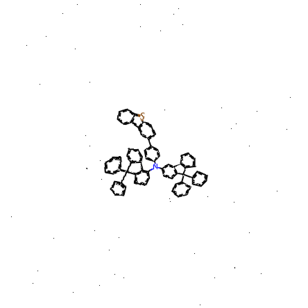 c1ccc(C2(c3ccccc3)c3ccccc3-c3cc(N(c4ccc(-c5ccc6sc7ccccc7c6c5)cc4)c4cccc5c4-c4ccccc4C5(c4ccccc4)c4ccccc4)ccc32)cc1